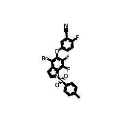 Cc1ccc(S(=O)(=O)n2ccc3c(Br)c(Oc4ccc(F)c(C#N)c4)c(F)c(F)c32)cc1